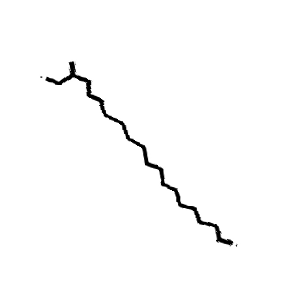 [CH2]CCCCCCCCCCCCCCCCC(C)C[CH2]